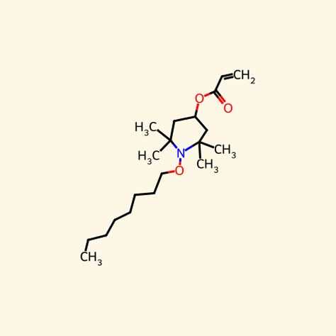 C=CC(=O)OC1CC(C)(C)N(OCCCCCCCC)C(C)(C)C1